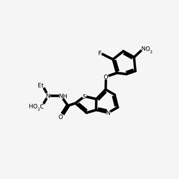 CCN(NC(=O)c1cc2nccc(Oc3ccc([N+](=O)[O-])cc3F)c2s1)C(=O)O